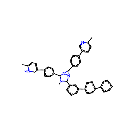 CC1=CC=C(c2ccc(C3N(C)C(c4cccc(-c5ccc(-c6ccccc6)cc5)c4)N4C(c5ccc(-c6ccc(C)nc6)cc5)N34)cc2)CN1